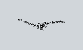 CC(C)(C)CCCOCCOCCOCCCNC(=O)c1nc2c(cc1N)C(=O)N(CCCOCCOCCOCCCC(C)(C)C)C2(C)C